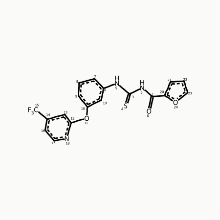 O=C(NC(=S)Nc1cccc(Oc2cc(C(F)(F)F)ccn2)c1)c1ccco1